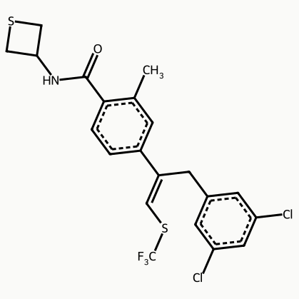 Cc1cc(/C(=C/SC(F)(F)F)Cc2cc(Cl)cc(Cl)c2)ccc1C(=O)NC1CSC1